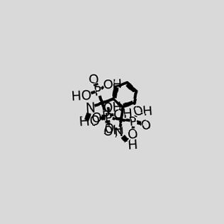 C=NC(c1ccccc1C(N=C)(P(=O)(O)O)P(=O)(O)O)(P(=O)(O)O)P(=O)(O)O